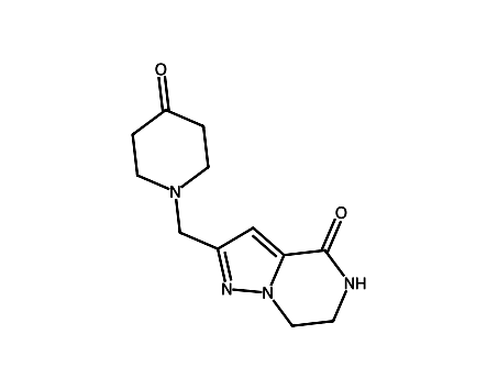 O=C1CCN(Cc2cc3n(n2)CCNC3=O)CC1